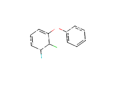 FC1C=CC=C(Oc2ccccc2)C1Cl